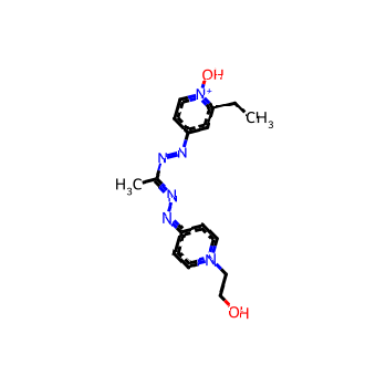 CCc1cc(N=NC(C)=NN=c2ccn(CCO)cc2)cc[n+]1O